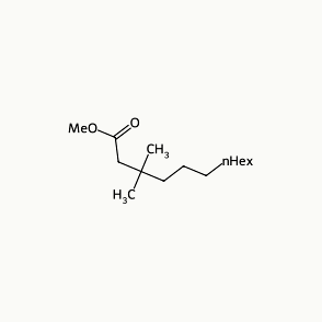 CCCCCCCCCC(C)(C)CC(=O)OC